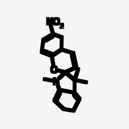 CN1C2=CCCC=C2C(C)(C)C12C=CC1CC([N+](=O)[O-])=CC=C1O2